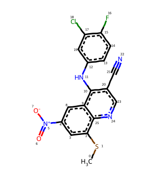 CSc1cc([N+](=O)[O-])cc2c(Nc3ccc(F)c(Cl)c3)c(C#N)cnc12